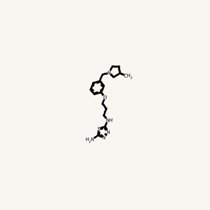 CC1CCN(Cc2cccc(OCCCNc3nnc(N)s3)c2)C1